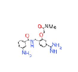 CNC(=O)COc1cc(C(=N)N)ccc1CNC(=O)c1cccc(N)c1